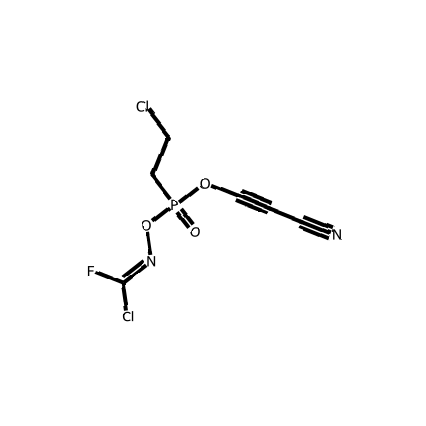 N#CC#COP(=O)(CCCl)O/N=C(\F)Cl